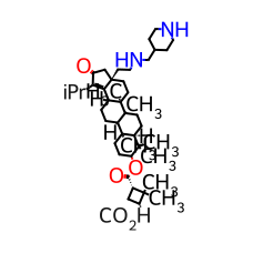 CC(C)C1=C2[C@H]3CC[C@@H]4[C@@]5(C)CC[C@H](OC(=O)[C@H]6C[C@@H](C(=O)O)C6(C)C)C(C)(C)[C@@H]5CC[C@@]4(C)[C@]3(C)CC[C@@]2(CCNCC2CCNCC2)CC1=O